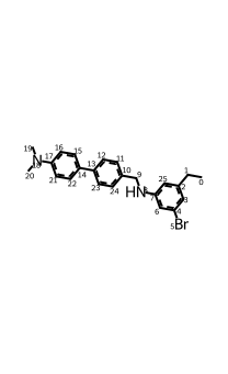 CCc1cc(Br)cc(NCc2ccc(-c3ccc(N(C)C)cc3)cc2)c1